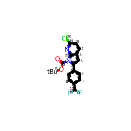 CC(C)(C)OC(=O)n1c(-c2ccc(C(F)F)cc2)cc2ccc(Cl)nc21